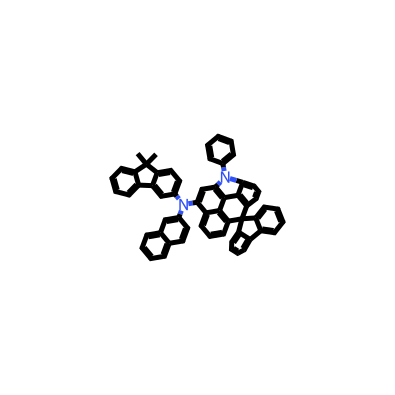 CC1(C)c2ccccc2-c2cc(N(c3ccc4ccccc4c3)c3cc4c5c6c(cccc36)C3(c6ccccc6-c6ccccc63)c3cccc(c35)n4-c3ccccc3)ccc21